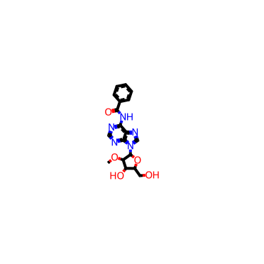 COC1C(O)C(CO)OC1n1cnc2c(NC(=O)c3ccccc3)ncnc21